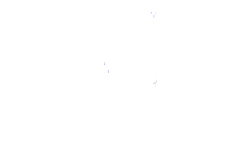 CC(N=Cc1ccncc1)c1ccccc1O[SiH](C)C